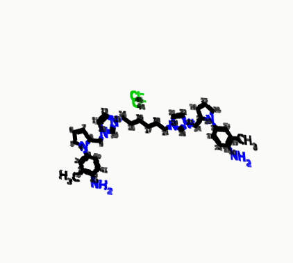 Cc1cc(N2CCCC2Cn2cc[n+](CCCCCCn3cc[n+](CC4CCCN4c4ccc(N)c(C)c4)c3)c2)ccc1N.[Cl-].[Cl-]